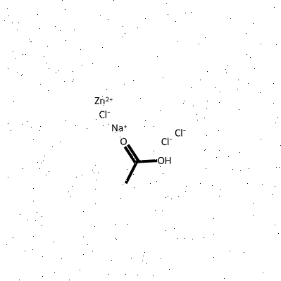 CC(=O)O.[Cl-].[Cl-].[Cl-].[Na+].[Zn+2]